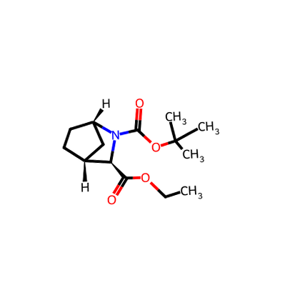 CCOC(=O)[C@H]1[C@@H]2CC[C@@H](C2)N1C(=O)OC(C)(C)C